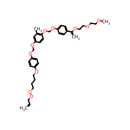 C=CCOOCCCCOc1ccc(OCOc2ccc(OCOc3ccc(C(=C)OCCOCCOC)cc3)c(C)c2)cc1